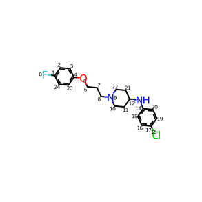 Fc1ccc(OCCCN2CCC(Nc3ccc(Cl)cc3)CC2)cc1